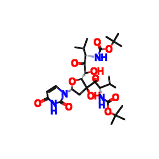 CC(C)[C@H](NC(=O)OC(C)(C)C)C(=O)C(O)[C@H]1O[C@@H](n2ccc(=O)[nH]c2=O)C[C@@]1(O)C(=O)[C@@H](NC(=O)OC(C)(C)C)C(C)C